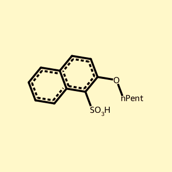 CCCCCOc1ccc2ccccc2c1S(=O)(=O)O